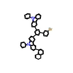 Brc1cccc(-c2cc(-c3ccc4c(c3)c3ccccc3n4-c3ccccc3)cc(-c3ccc4c(c3)c3cc(-c5cccc6c5C=CCC6)ccc3n4-c3ccccc3)c2)c1